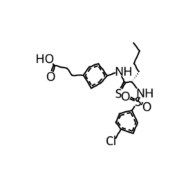 CCCC[C@H](NS(=O)(=O)c1ccc(Cl)cc1)C(=S)Nc1ccc(CCC(=O)O)cc1